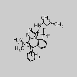 C=CCC(C)NCc1nnc(C(CCC)N(C)C)n1-c1c(C(=O)c2ccccc2)cccc1C(F)(F)F